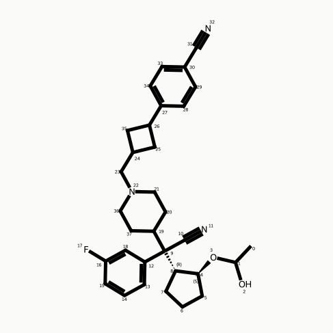 CC(O)O[C@H]1CCC[C@@H]1C(C#N)(c1cccc(F)c1)C1CCN(CC2CC(c3ccc(C#N)cc3)C2)CC1